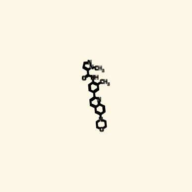 Cc1cc(-c2ccc3cc(N4CCOCC4)ccc3n2)ccc1NC(=O)c1ccnn1C